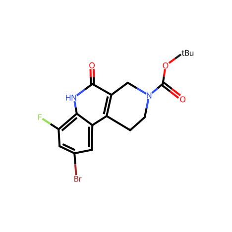 CC(C)(C)OC(=O)N1CCc2c(c(=O)[nH]c3c(F)cc(Br)cc23)C1